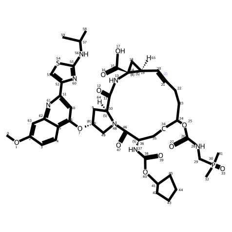 COc1ccc2c(O[C@@H]3C[C@H]4C(=O)N[C@]5(C(=O)O)C[C@H]5/C=C\CCC(OC(=O)NCP(C)(C)=O)CC[C@H](NC(=O)OC5CCCC5)C(=O)N4C3)cc(-c3csc(NC(C)C)n3)nc2c1